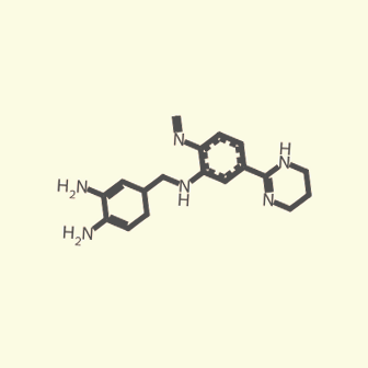 C=Nc1ccc(C2=NCCCN2)cc1NCC1C=C(N)C(N)=CC1